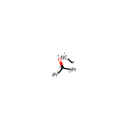 CC#N.CC(C)C(=O)C(C)C